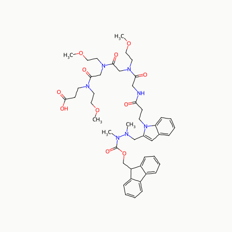 COCCN(CCC(=O)O)C(=O)CN(CCOC)C(=O)CN(CCOC)C(=O)CNC(=O)CCn1c(CN(C)N(C)C(=O)OCC2c3ccccc3-c3ccccc32)cc2ccccc21